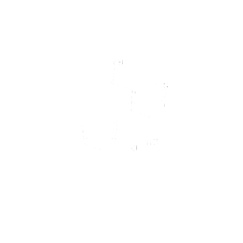 CSc1cnccc1-c1ccccc1Cl.Cl